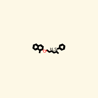 Cc1c(OCCCCC(C)[SiH2]c2ccccc2)ccc2ccccc12